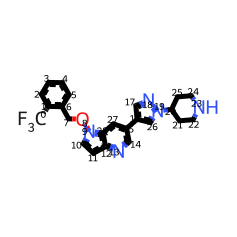 FC(F)(F)c1ccccc1COn1ccc2ncc(-c3cnn(C4CCNCC4)c3)cc21